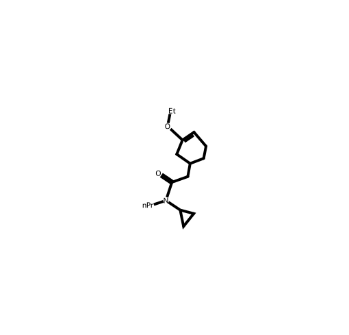 CCCN(C(=O)CC1CCC=C(OCC)C1)C1CC1